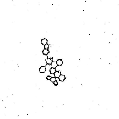 C1=CCC2Oc3c(-c4ccccc4-c4nc(-c5ccc6c(c5)oc5ccccc56)nc(C5C=CC=CC5)n4)cccc3C3(C2=C1)c1ccccc1-c1ccccc13